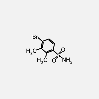 Cc1c(Br)ccc(S(N)(=O)=O)c1C